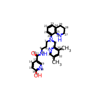 Cc1cnc(CN(CCCNC(=O)c2ccc(O)nc2)c2cccc3c2NCCC3)c(C)c1